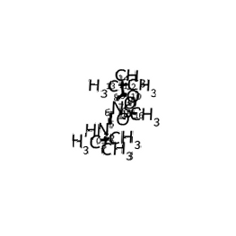 CC(C)(C)NCCN(CC(=O)C(C)(C)C)S(C)(=O)=O